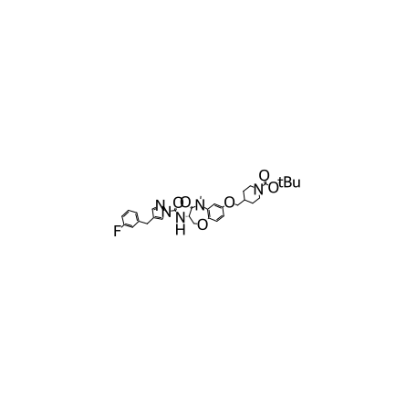 CN1C(=O)[C@@H](NC(=O)n2cc(Cc3cccc(F)c3)cn2)COc2ccc(OCC3CCN(C(=O)OC(C)(C)C)CC3)cc21